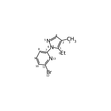 CCc1c(C)cnn1-c1cccc(Br)n1